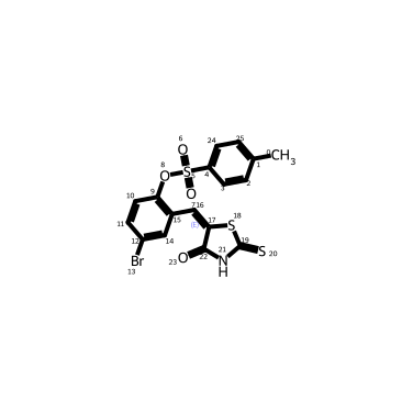 Cc1ccc(S(=O)(=O)Oc2ccc(Br)cc2/C=C2/SC(=S)NC2=O)cc1